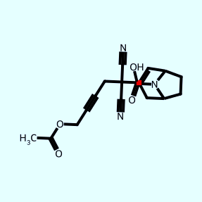 CC(=O)OCC#CCC(C#N)(C#N)C1=CC2CCC(C1)N2C(=O)O